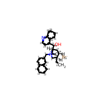 C=C[C@H]1C[N+]2(Cc3ccc4ccccc4c3)CC[C@H]1C[C@@H]2[C@@H](O)c1ccnc2ccccc12.[Br-]